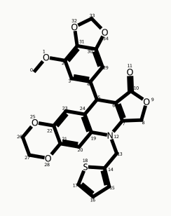 COc1cc(C2C3=C(COC3=O)N(Cc3cccs3)c3cc4c(cc32)OCCO4)cc2c1OCO2